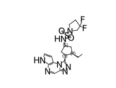 CC[C@@H]1C[C@H](NS(=O)(=O)N2CCC(F)(F)C2)C[C@@H]1c1nnc2cnc3[nH]ccc3n12